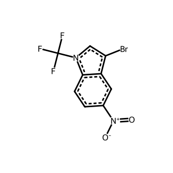 O=[N+]([O-])c1ccc2c(c1)c(Br)cn2C(F)(F)F